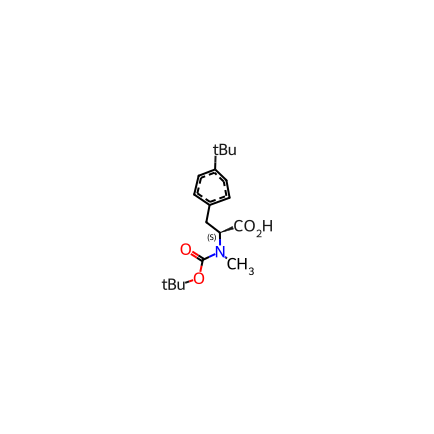 CN(C(=O)OC(C)(C)C)[C@@H](Cc1ccc(C(C)(C)C)cc1)C(=O)O